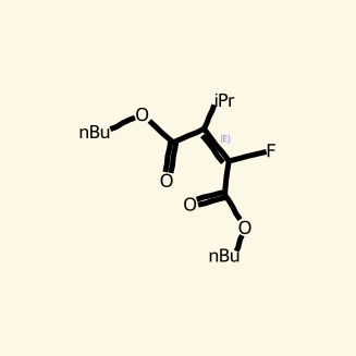 CCCCOC(=O)/C(F)=C(\C(=O)OCCCC)C(C)C